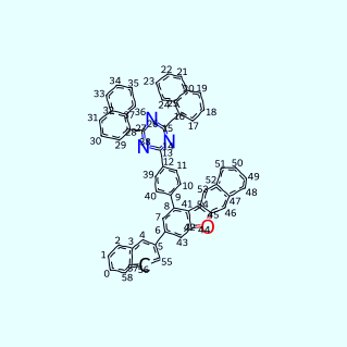 c1ccc2cc(-c3cc(-c4ccc(-c5nc(-c6cccc7ccccc67)nc(-c6cccc7ccccc67)n5)cc4)c4c(c3)oc3cc5ccccc5cc34)ccc2c1